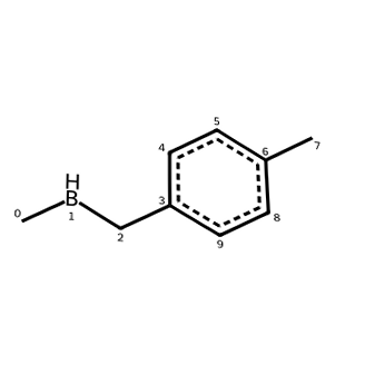 CBCc1ccc(C)cc1